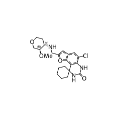 CO[C@H]1COCC[C@@H]1NCc1cc2cc(Cl)c3c(c2o1)C1(CCCCC1)NC(=O)N3